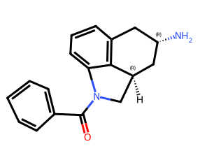 N[C@H]1Cc2cccc3c2[C@@H](C1)CN3C(=O)c1ccccc1